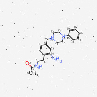 CC(=O)NCCc1ccc(CN2CCN(c3ccccc3)CC2)cc1N